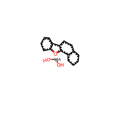 OBO.c1ccc2c(c1)ccc1c3ccccc3oc21